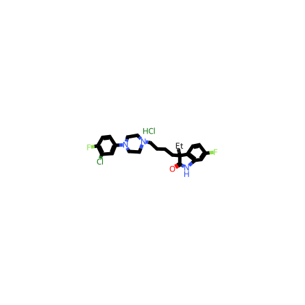 CCC1(CCCCN2CCN(c3ccc(F)c(Cl)c3)CC2)C(=O)Nc2cc(F)ccc21.Cl